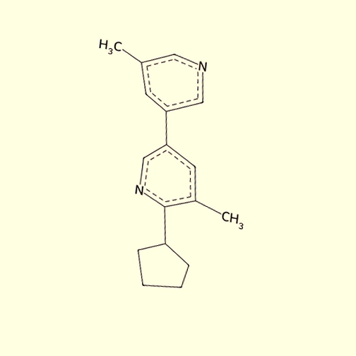 Cc1cncc(-c2cnc(C3CCCC3)c(C)c2)c1